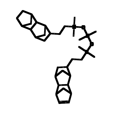 C[Si](C)(CCC1CC2CC1C1C3C=CC(C3)C21)O[Si](C)(C)O[Si](C)(C)CCC1CC2CC1C1C3CCC(C3)C21